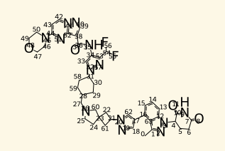 Cc1nn(C2CCC(=O)NC2=O)c2cccc(-c3cnn(C4CC5(CCN(CC6CCC(n7cc(NC(=O)c8cnn9ccc(N%10CCOCC%10)nc89)c(C(F)F)n7)CC6)C5)C4)c3)c12